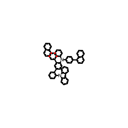 c1ccc(-c2cc(-c3ccccc3-n3c4ccccc4c4ccccc43)ccc2N(c2ccc(-c3cccc4ccccc34)cc2)c2cccc(-c3cccc4ccccc34)c2)cc1